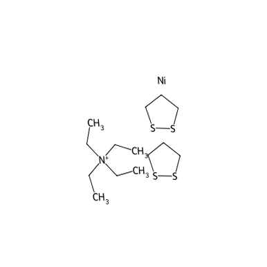 C1CSSC1.C1CSSC1.CC[N+](CC)(CC)CC.[Ni]